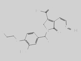 C=N/C=C\C1=C(C(=O)CC)CN(C(C)c2ccc(OCCF)c(C)c2)C1=O